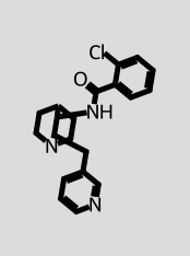 O=C(NC1C2CCN(CC2)C1Cc1cccnc1)c1ccccc1Cl